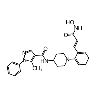 Cc1c(C(=O)NC2CCN(C3=CCCC=C3/C=C/C(=O)NO)CC2)cnn1-c1ccccc1